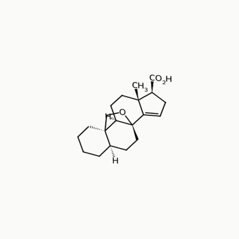 C[C@]12CC[C@@H]3[C@@]45CCCC[C@@H]4CC[C@@]3(OC5)C1=CC[C@@H]2C(=O)O